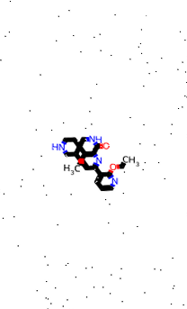 CCOc1ncccc1-c1ccc2c(n1)C(=O)NCC21CCNCC1CC